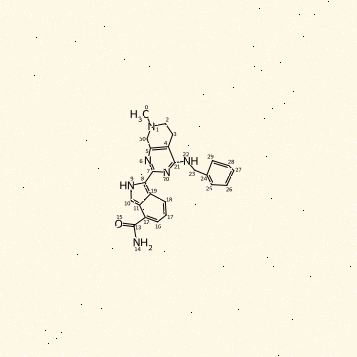 CN1CCc2c(nc(-c3[nH]cc4c(C(N)=O)cccc34)nc2NCc2ccccc2)C1